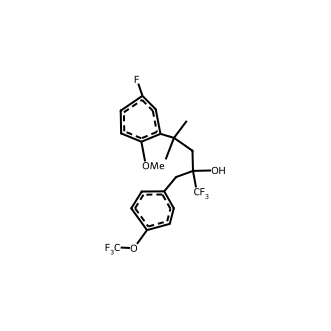 COc1ccc(F)cc1C(C)(C)CC(O)(Cc1ccc(OC(F)(F)F)cc1)C(F)(F)F